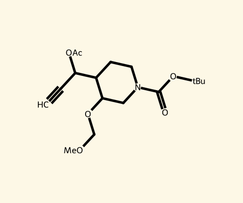 C#CC(OC(C)=O)C1CCN(C(=O)OC(C)(C)C)CC1OCOC